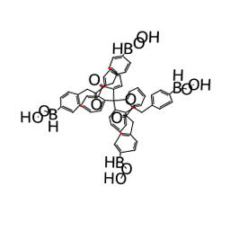 O=C(Cc1ccc(BOO)cc1)c1ccccc1C(c1ccccc1C(=O)Cc1ccc(BOO)cc1)(c1ccccc1C(=O)Cc1ccc(BOO)cc1)c1ccccc1C(=O)Cc1ccc(BOO)cc1